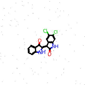 O=C1Nc2cc(Cl)c(Cl)cc2/C1=C1/Nc2ccccc2C1=O